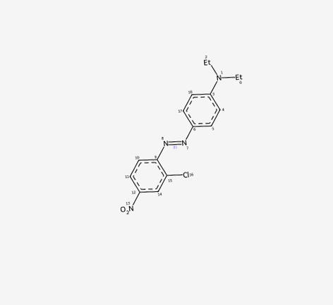 [CH2]CN(CC)c1ccc(/N=N/c2ccc([N+](=O)[O-])cc2Cl)cc1